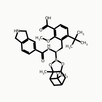 COc1c(C(=O)O)ccc(C(C)(C)C)c1C[C@H](NC(=O)c1ccc2c(c1)CNC2)B1OC2CC3CC(C3(C)C)C2(C)O1